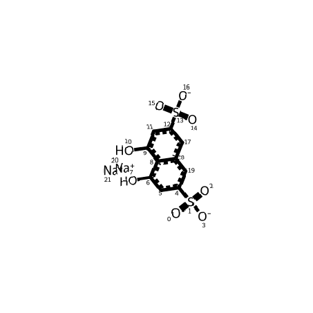 O=S(=O)([O-])c1cc(O)c2c(O)cc(S(=O)(=O)[O-])cc2c1.[Na+].[Na+]